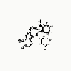 CN1CCc2c(c[nH]c2C=C2C(=O)Nc3cccc(C4CCNCC4)c32)C1=O